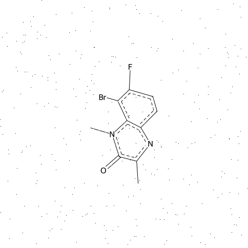 Cc1nc2ccc(F)c(Br)c2n(C)c1=O